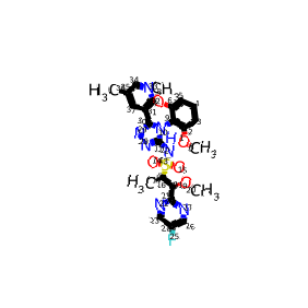 COc1cccc(OC)c1-n1c(NS(=O)(=O)[C@H](C)[C@@H](OC)c2ncc(F)cn2)nnc1-c1cncc(C)c1